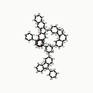 c1ccc(-c2ccc(-c3nc(-c4ccc5ccc6oc7ccc(-n8c9cc%10ccccc%10cc9c9cc%10ccccc%10cc98)cc7c6c5c4)nc(-c4ccc5c(c4)c4ccccc4n5-c4ccccc4)n3)cc2)cc1